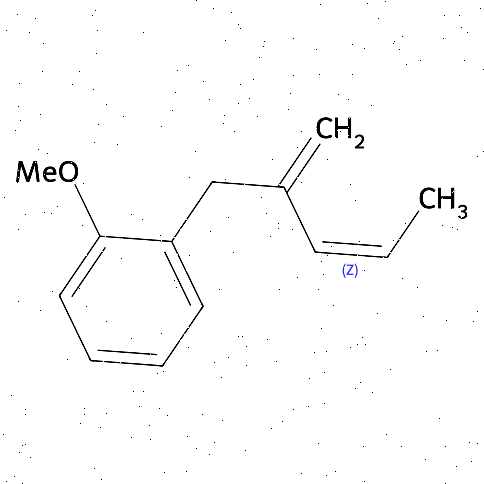 C=C(/C=C\C)Cc1ccccc1OC